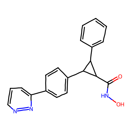 O=C(NO)C1C(c2ccccc2)C1c1ccc(-c2cccnn2)cc1